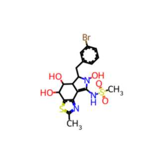 Cc1nc2c(s1)C(O)C(O)C1C2=C(NS(C)(=O)=O)N(O)C1Cc1cccc(Br)c1